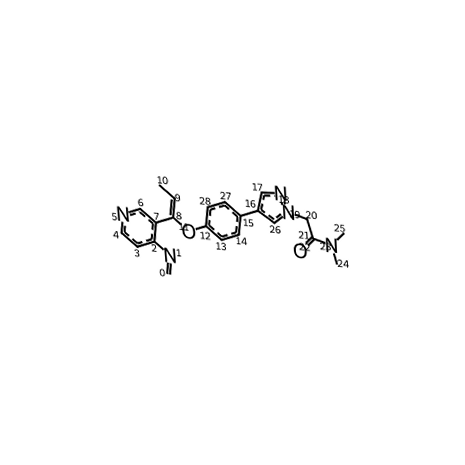 C=Nc1ccncc1/C(=C\C)Oc1ccc(-c2cnn(CC(=O)N(C)C)c2)cc1